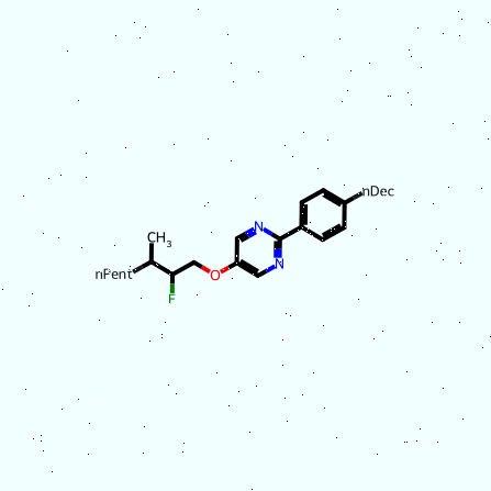 CCCCCCCCCCc1ccc(-c2ncc(OCC(F)C(C)CCCCC)cn2)cc1